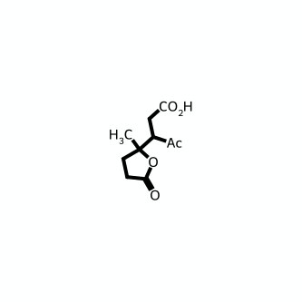 CC(=O)C(CC(=O)O)C1(C)CCC(=O)O1